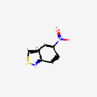 O=[N+]([O-])c1ccc2ns[c]c2c1